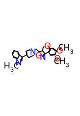 COc1cc2c(cc1OC)C1=NOC(CN3CC=C(c4cn(C)c5ccccc45)CC3)C1CO2